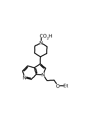 CCOCCn1cc(C2CCN(C(=O)O)CC2)c2ccncc21